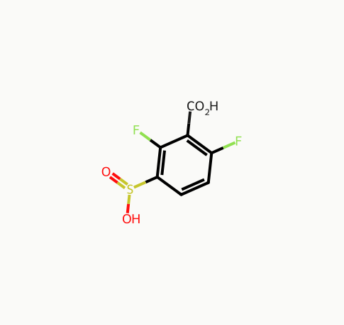 O=C(O)c1c(F)ccc(S(=O)O)c1F